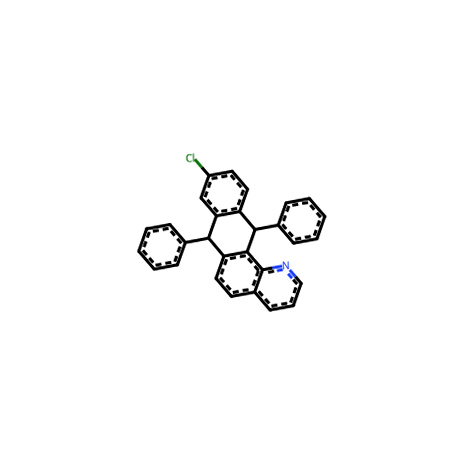 Clc1ccc2c(c1)C(c1ccccc1)c1ccc3cccnc3c1C2c1ccccc1